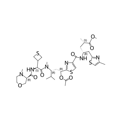 COC(=O)[C@@H](C)C[C@H](Cc1nc(C)cs1)NC(=O)c1csc([C@@H](C[C@H](C(C)C)N(C)C(=O)[C@@H](NC(=O)[C@H]2COCCN2C)C2CSC2)OC(C)=O)n1